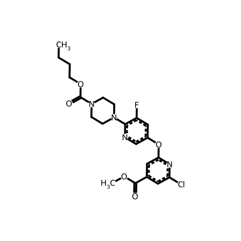 CCCCOC(=O)N1CCN(c2ncc(Oc3cc(C(=O)OC)cc(Cl)n3)cc2F)CC1